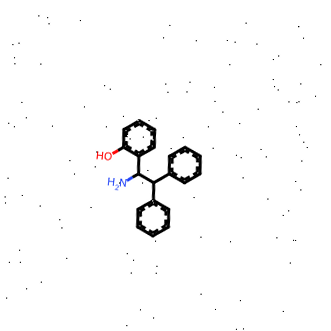 NC(c1ccccc1O)C(c1ccccc1)c1ccccc1